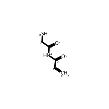 C=CC(=O)NC(=O)CS